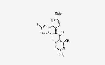 COc1cccc(-c2cc(F)ccc2C2Cc3nc(C)nc(C)c3C(=O)N2)n1